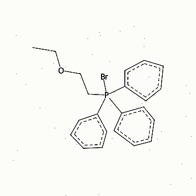 CCOCCP(Br)(c1ccccc1)(c1ccccc1)c1ccccc1